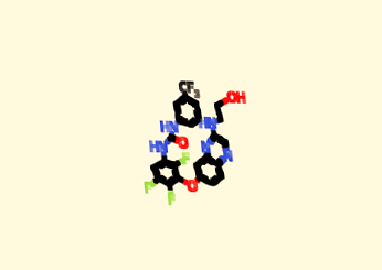 O=C(Nc1cccc(C(F)(F)F)c1)Nc1cc(F)c(F)c(Oc2ccc3ncc(NCCO)nc3c2)c1F